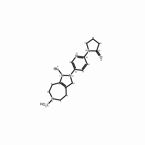 CC(C)(C)N1C2=C(CCN(C(=O)O)CC2)CN1c1ccc(N2CCCC2=O)nc1